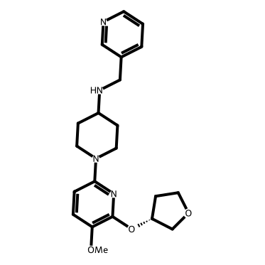 COc1ccc(N2CCC(NCc3cccnc3)CC2)nc1O[C@@H]1CCOC1